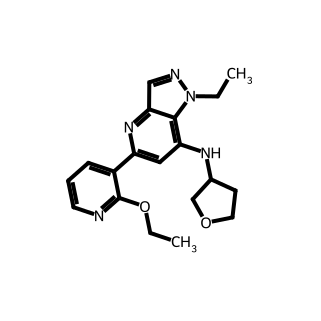 CCOc1ncccc1-c1cc(NC2CCOC2)c2c(cnn2CC)n1